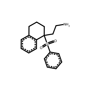 NCCC1(S(=O)(=O)c2ccccc2)CCCc2ccccc21